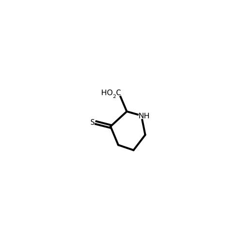 O=C(O)C1NCCCC1=S